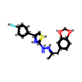 CC(Cc1ccc2c(c1)OCO2)=NNc1nc(-c2ccc(F)cc2)cs1